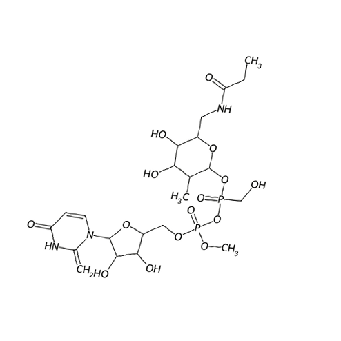 C=C1NC(=O)C=CN1C1OC(COP(=O)(OC)OP(=O)(CO)OC2OC(CNC(=O)CC)C(O)C(O)C2C)C(O)C1O